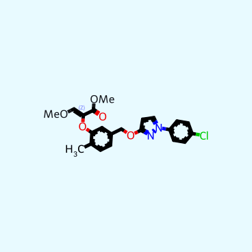 CO/C=C(\Oc1cc(COc2ccn(-c3ccc(Cl)cc3)n2)ccc1C)C(=O)OC